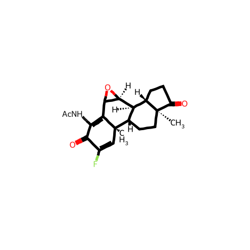 CC(=O)NC1=C2C3O[C@H]3[C@@H]3[C@H](CC[C@]4(C)C(=O)CC[C@@H]34)[C@@]2(C)C=C(F)C1=O